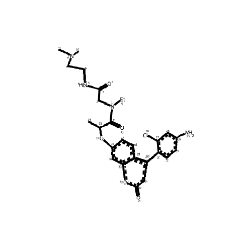 CCN(CC(=O)NCCN(C)C)C(=O)C(C)Oc1ccc2c(-c3ccc(N)cc3Cl)cc(=O)oc2c1